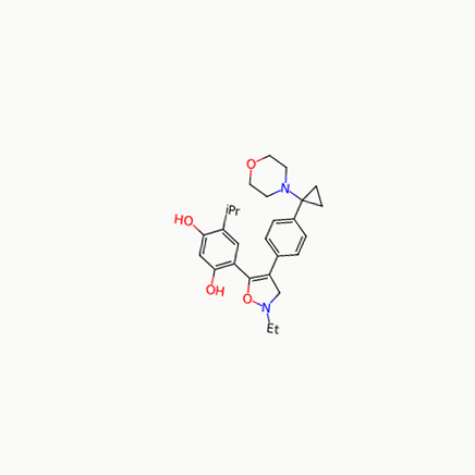 CCN1CC(c2ccc(C3(N4CCOCC4)CC3)cc2)=C(c2cc(C(C)C)c(O)cc2O)O1